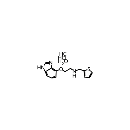 Cl.Cl.O.c1csc(CNCCOc2cccc3[nH]cnc23)c1